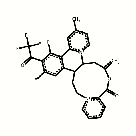 C=C1CC2C(CC[n+]3ccccc3C(=O)O1)c1cc(F)c(C(=O)C(F)(F)F)c(F)c1-c1cc(C)cc[n+]12